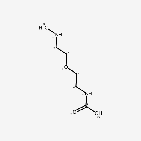 CNCCOCCNC(=O)O